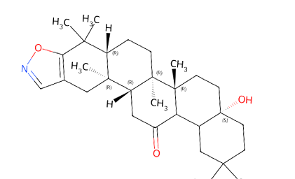 CC1(C)CC[C@]2(O)CC[C@]3(C)C(C(=O)C[C@@H]4[C@@]5(C)Cc6cnoc6C(C)(C)[C@@H]5CC[C@]43C)C2C1